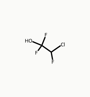 OC(F)(F)C(F)Cl